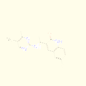 Cc1nc(NC(C)c2cc3cc(Cl)ccc3[nH]c2=O)ncc1C#N